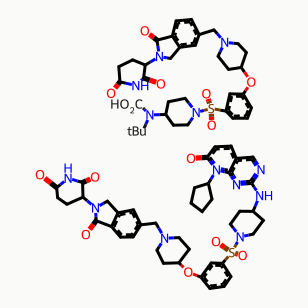 CC(C)(C)N(C(=O)O)C1CCN(S(=O)(=O)c2cccc(OC3CCN(Cc4ccc5c(c4)CN(C4CCC(=O)NC4=O)C5=O)CC3)c2)CC1.O=C1CCC(N2Cc3cc(CN4CCC(Oc5cccc(S(=O)(=O)N6CCC(Nc7ncc8ccc(=O)n(C9CCCC9)c8n7)CC6)c5)CC4)ccc3C2=O)C(=O)N1